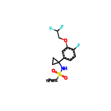 CCCCCS(=O)(=O)NC1(c2ccc(F)c(OCC(F)F)c2)CC1